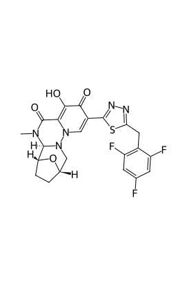 CN1C(=O)c2c(O)c(=O)c(-c3nnc(Cc4c(F)cc(F)cc4F)s3)cn2N2C[C@@H]3CC[C@@H](O3)[C@@H]12